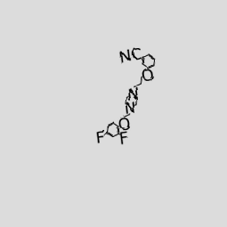 N#Cc1cccc(OCCCN2CCN(CCOc3ccc(F)cc3F)CC2)c1